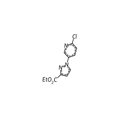 CCOC(=O)c1ccn(-c2ccc(Cl)nc2)n1